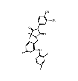 CC(C)(C)c1cc(N2C(=O)N(Cc3ccc(F)cc3Nc3ccc(F)cc3F)C(C)(C)C2=O)ccc1C#N